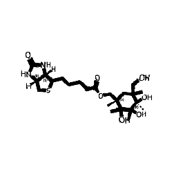 CC1(O)C(C)(O)[C@](C)(O)C(C)(CO)C[C@@]1(C)COC(=O)CCCCC1SC[C@@H]2NC(=O)N[C@H]12